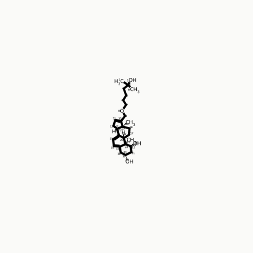 CC(C)(O)CCCCOCC1=CC[C@H]2C3=CC=C4C[C@@H](O)C[C@H](O)[C@]4(C)[C@H]3CC[C@]12C